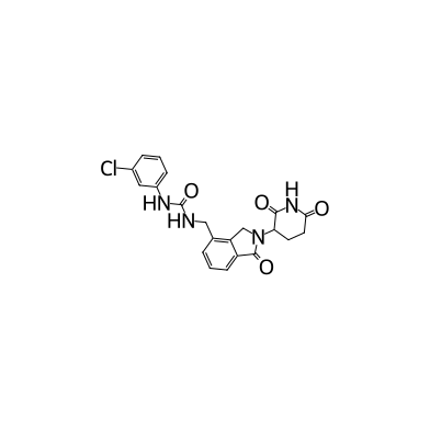 O=C1CCC(N2Cc3c(CNC(=O)Nc4cccc(Cl)c4)cccc3C2=O)C(=O)N1